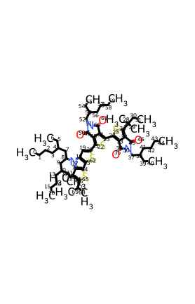 CCCCC(CC)CC(CC(CC)CCCC)n1c2cc(-c3sc(-c4sc(C(C)(C)CC)c5c4C(=O)N(CC(CC)CCCC)C5=O)c4c3C(=O)N(CC(CC)CCCC)C4=O)sc2c2sc(C(C)C)c(C)c21